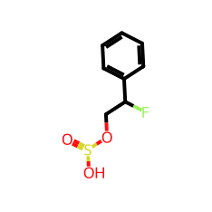 O=S(O)OCC(F)c1ccccc1